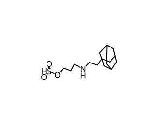 O=[SH](=O)OCCCNCCC12CC3CC(CC(C3)C1)C2